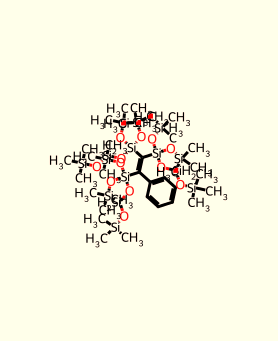 C[Si](C)(C)O[SiH2]O[Si](O[Si](C)(C)C)(O[Si](C)(C)C)C(=C([Si](O[SiH2]O[Si](C)(C)C)(O[Si](C)(C)C)O[Si](C)(C)C)[Si](O[SiH2]O[Si](C)(C)C)(O[Si](C)(C)C)O[Si](C)(C)C)c1ccccc1